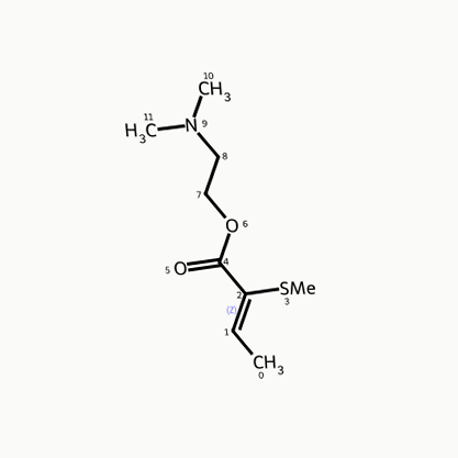 C/C=C(\SC)C(=O)OCCN(C)C